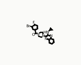 O=C(c1ccc(F)c(Br)c1)N1CCN(c2nc3ccccc3nc2NC2CC2)CC1